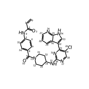 C=CC(=O)Nc1ccc(C(=O)N2CCC(Nc3ncc(Cl)c(-c4c[nH]c5ncccc45)n3)CC2)cc1